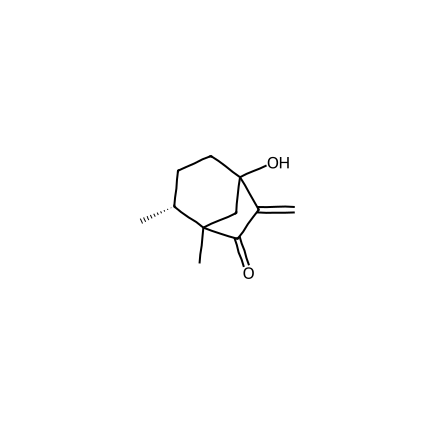 C=C1C(=O)C2(C)CC1(O)CC[C@H]2C